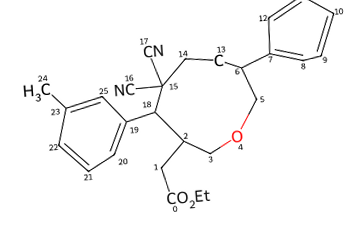 CCOC(=O)CC1COCC(c2ccccc2)CCC(C#N)(C#N)C1c1cccc(C)c1